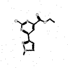 CCOC(=O)c1cc(-c2ccn(C)n2)nc(Cl)n1